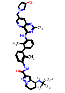 Cc1c(NC(=O)c2cc3n(n2)CCC[C@@H]3NC(C)(C)C(=O)O)cccc1-c1cccc(Nc2nc(C(F)(F)F)nc3cc(CN4CC[C@@H](O)C4)cnc23)c1C